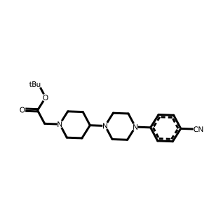 CC(C)(C)OC(=O)CN1CCC(N2CCN(c3ccc(C#N)cc3)CC2)CC1